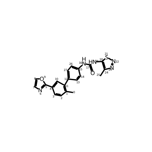 Cc1ccc(-c2ncco2)cc1-c1ccc(NC(=O)Nc2snnc2C)cc1